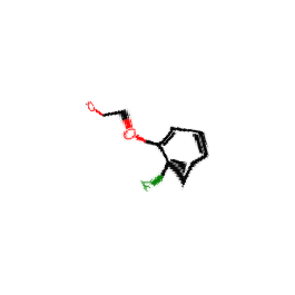 [O]COc1ccccc1F